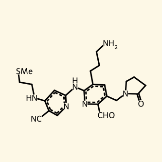 CSCCNc1cc(Nc2nc(C=O)c(CN3CCCC3=O)cc2CCCN)ncc1C#N